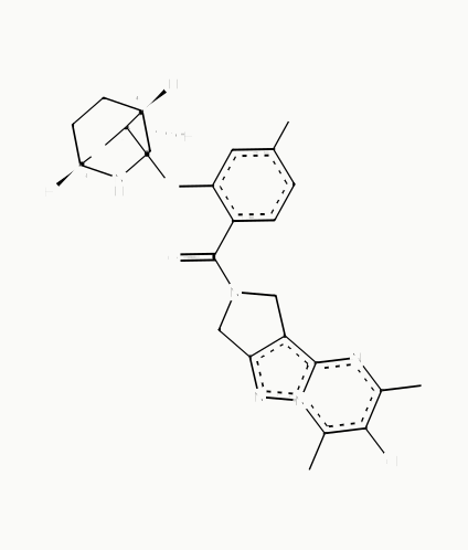 Cc1nc2c3c(nn2c(C)c1Cl)CN(C(=O)c1ccc(F)cc1O[C@H]1C[C@H]2CC[C@@H]1CN2)C3